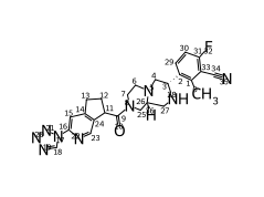 Cc1c([C@H]2CN3CCN(C(=O)C4CCc5cc(-n6cnnn6)ncc54)C[C@H]3CN2)ccc(F)c1C#N